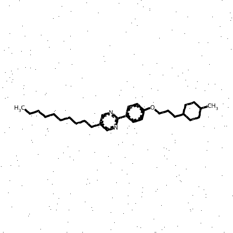 CCCCCCCCCCc1cnc(-c2ccc(OCCCC3CCC(C)CC3)cc2)nc1